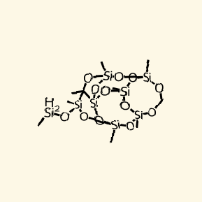 C[SiH2]O[Si]1(C)O[Si]2(C)O[Si]3(C)OCO[Si]4(C)O[Si]5(C)OC1(C)[Si](O5)(O[Si](C)(O4)O3)O2